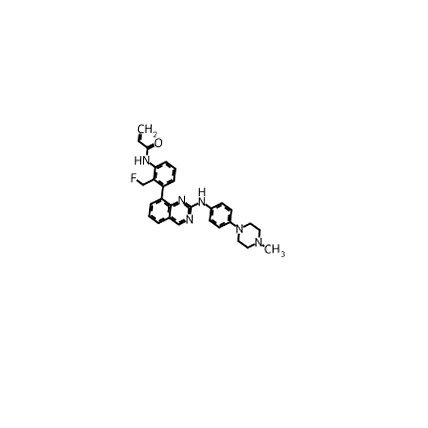 C=CC(=O)Nc1cccc(-c2cccc3cnc(Nc4ccc(N5CCN(C)CC5)cc4)nc23)c1CF